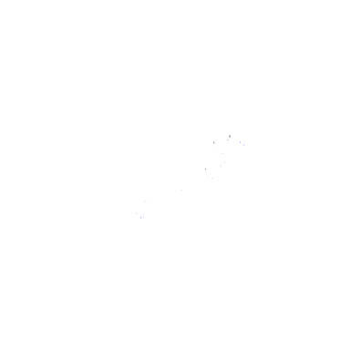 CC1C[C@H]2[C@@H]3CCN4C(C)C(=O)CC[C@]4(C)[C@H]3CC[C@]2(C)[C@H]1C(C)OC(=O)NCc1ccccc1